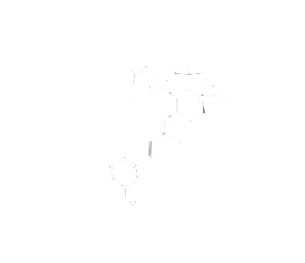 CCOc1ccc(/C=C/C(=O)O[C@@H]2CC[C@]3(CO3)[C@@H](C3(C)O[C@H]3CC=C(C)C)[C@@H]2OC)cc1OC